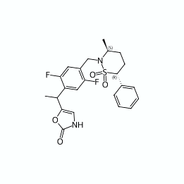 CC(c1c[nH]c(=O)o1)c1cc(F)c(CN2[C@@H](C)CC[C@H](c3ccccc3)S2(=O)=O)cc1F